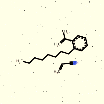 C=C(C)c1ccccc1CCCCCCCC.C=CC#N